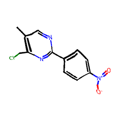 Cc1cnc(-c2ccc([N+](=O)[O-])cc2)nc1Cl